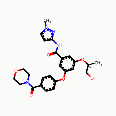 C[C@@H](CO)Oc1cc(Oc2ccc(C(=O)N3CCOCC3)cc2)cc(C(=O)Nc2ccn(C)n2)c1